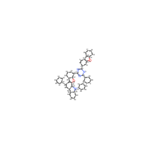 c1ccc(-c2nc(-c3ccc4c(c3)oc3ccccc34)nc(-c3cccc4c3oc3c4c(-c4ccccc4)cc4c5ccccc5n(-c5ccccc5)c43)n2)cc1